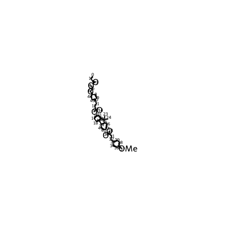 C=CC(=O)OCOc1ccc(CCC(=O)Oc2ccc3c(c2)C(C)(C)c2cc(OC(=O)CCc4ccc(OC)cc4)ccc2-3)cc1